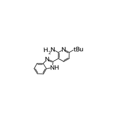 CC(C)(C)c1ccc(-c2nc3ccccc3[nH]2)c(N)n1